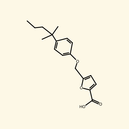 CCCC(C)(C)c1ccc(OCc2ccc(C(=O)O)o2)cc1